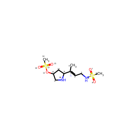 C/C(=C\CNS(C)(=O)=O)C1CC(OS(C)(=O)=O)CN1